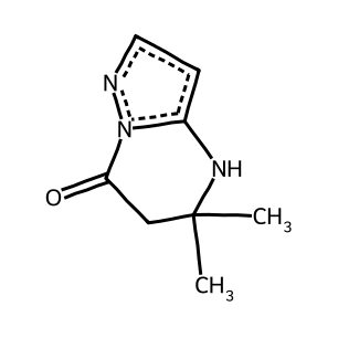 CC1(C)CC(=O)n2nccc2N1